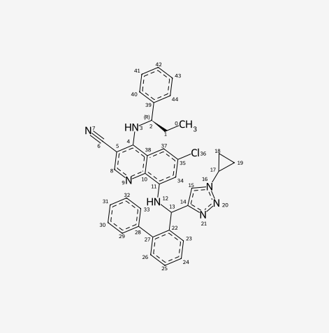 CC[C@@H](Nc1c(C#N)cnc2c(NC(c3cn(C4CC4)nn3)c3ccccc3-c3ccccc3)cc(Cl)cc12)c1ccccc1